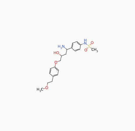 COCCc1ccc(OCC(O)CC(N)c2ccc(NS(C)(=O)=O)cc2)cc1